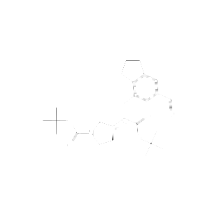 CC(C)(C)OC(=O)[C@@H](Cc1cc(C=O)cc2c1CCC2)[C@H]1CCN(C(=O)OC(C)(C)C)C1